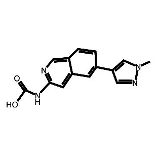 Cn1cc(-c2ccc3cnc(NC(=O)O)cc3c2)cn1